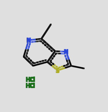 Cc1nc2c(C)nccc2s1.Cl.Cl